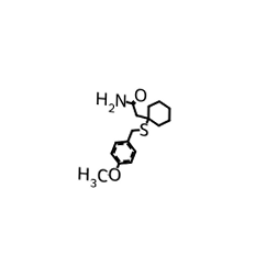 COc1ccc(CSC2(CC(N)=O)CCCCC2)cc1